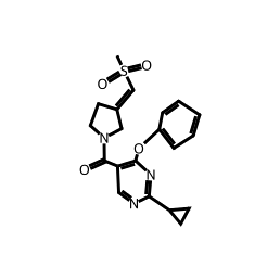 CS(=O)(=O)C=C1CCN(C(=O)c2cnc(C3CC3)nc2Oc2ccccc2)C1